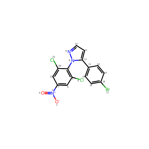 O=[N+]([O-])c1cc(Cl)c(-n2nccc2-c2ccc(Br)cc2)c(Cl)c1